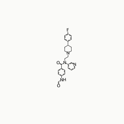 O=CNc1ccc(C(=O)N(CCN2CCC(c3ccc(F)cc3)CC2)c2cccnc2)cc1